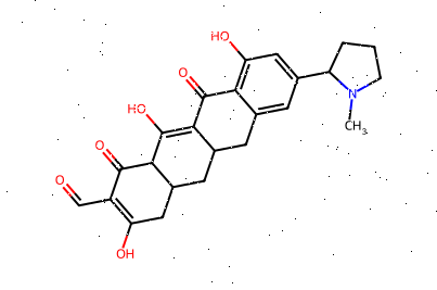 CN1CCCC1c1cc(O)c2c(c1)CC1CC3CC(O)=C(C=O)C(=O)C3C(O)=C1C2=O